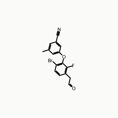 Cc1cc(C#N)cc(Oc2c(Br)ccc(CC=O)c2F)c1